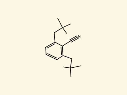 CC(C)(C)Cc1cccc(CC(C)(C)C)c1C#N